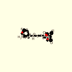 COc1ccc(C2=N[C@@H](c3ccc(Cl)cc3)[C@@H](c3ccc(Cl)cc3)N2C(=O)N2CCN(CCOCCOCCC(=O)NCCn3nc4c(c3OC)-c3cnc(N)c(c3)N3CCC[C@@H]3c3cc(F)ccc3C(=O)N(C)C4)C(=O)C2)c(OC(C)C)c1